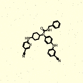 N#Cc1ccc(NC2CCC(N(C(=O)NCc3ccccc3)c3ccc(Nc4cccc(C#N)c4)cc3)CC2)nc1